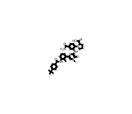 Cc1c(NC(=O)c2ccc(C(C)(C)C)cc2)cccc1-c1cn(C)c(=O)c(Nc2cc(C(N)=O)ccc2N2CCCC2C(=O)O)n1